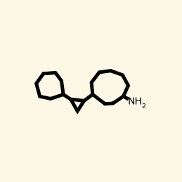 NC1CCCCCC(C2CC2C2CCCCCC2)CC1